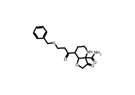 NC(=O)C12NCCC(C(=O)[CH]CSCc3ccccc3)C1OCC2=O